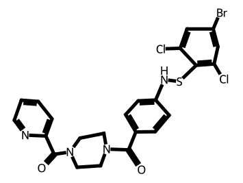 O=C(c1ccc(NSc2c(Cl)cc(Br)cc2Cl)cc1)N1CCN(C(=O)c2ccccn2)CC1